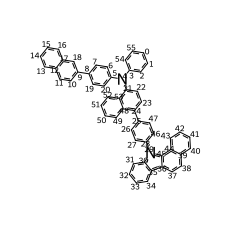 c1ccc(N(c2ccc(-c3ccc4ccccc4c3)cc2)c2ccc(-c3ccc(-n4c5ccccc5c5ccc6ccccc6c54)cc3)c3ccccc23)cc1